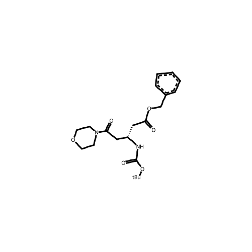 CC(C)(C)OC(=O)N[C@@H](CC(=O)OCc1ccccc1)CC(=O)N1CCOCC1